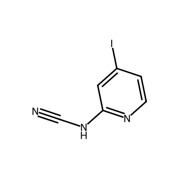 N#CNc1cc(I)ccn1